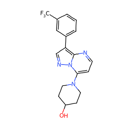 OC1CCN(c2ccnc3c(-c4cccc(C(F)(F)F)c4)cnn23)CC1